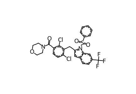 O=C(c1ccc(Cl)c(Cc2cc3ccc(C(F)(F)F)cc3n2S(=O)(=O)c2ccccc2)c1Cl)N1CCOCC1